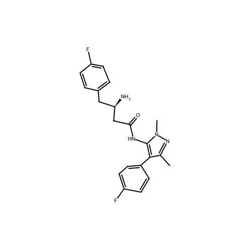 Cc1nn(C)c(NC(=O)C[C@H](N)Cc2ccc(F)cc2)c1-c1ccc(F)cc1